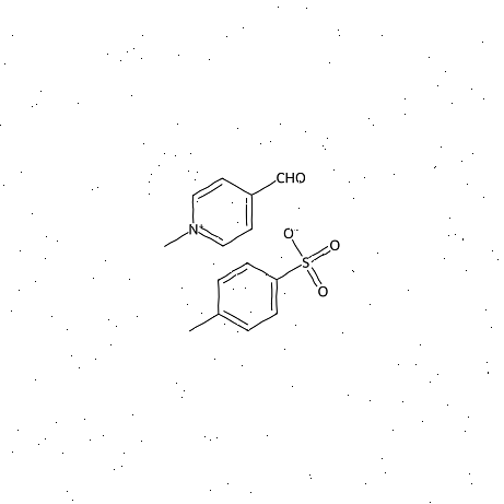 C[n+]1ccc(C=O)cc1.Cc1ccc(S(=O)(=O)[O-])cc1